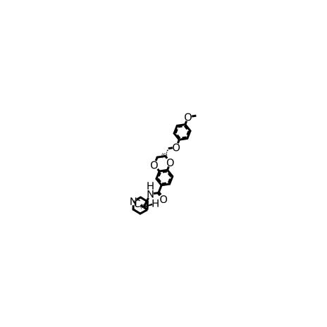 COc1ccc(OC[C@H]2COc3cc(C(=O)N[C@H]4CN5CCC4CC5)ccc3O2)cc1